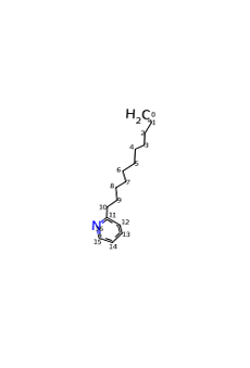 C=CCCCCCCCCCc1ccccn1